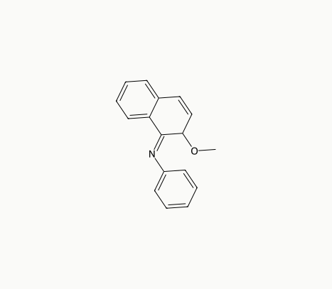 COC1C=Cc2ccccc2C1=Nc1ccccc1